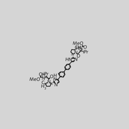 COC(=O)N[C@H](C(=O)N1C(C)CC[C@H]1c1ncc(-c2ccc(-c3ccc(-c4cnc([C@@H]5CC[C@H](C)N5C(=O)[C@@H](NC(=O)OC)C(C)C)[nH]4)cc3)cc2)[nH]1)C(C)C